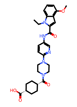 CCn1c(C(=O)Nc2ccc(N3CCN(C(=O)[C@H]4CC[C@@H](C(=O)O)CC4)CC3)nc2)cc2c(OC)cccc21